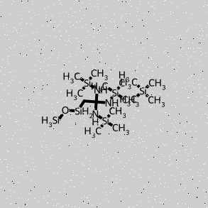 C[Si](C)(C)C.C[Si](C)(C)NC(C[SiH2]O[SiH3])(N[Si](C)(C)C)N[Si](C)(C)C